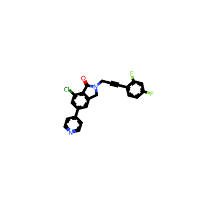 O=C1c2c(Cl)cc(-c3ccncc3)cc2CN1CC#Cc1ccc(F)cc1F